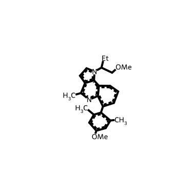 CCC(COC)n1ccc2c(C)nc3c(-c4c(C)cc(OC)cc4C)cccc3c21